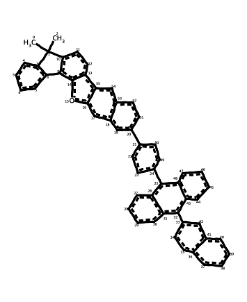 CC1(C)c2ccccc2-c2c1ccc1c2oc2cc3cc(-c4ccc(-c5c6ccccc6c(-c6ccc7ccccc7c6)c6ccccc56)cc4)ccc3cc21